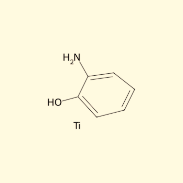 Nc1ccccc1O.[Ti]